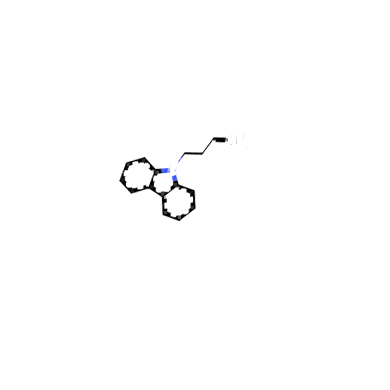 C=CCCn1c2ccccc2c2ccccc21